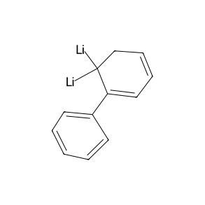 [Li][C]1([Li])CC=CC=C1c1ccccc1